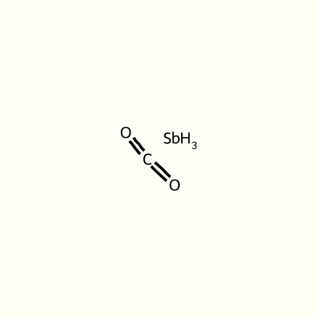 O=C=O.[SbH3]